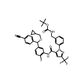 CC(C)(C)OC(=O)NCc1cccc(-n2nc(C(F)(F)F)cc2C(=O)Nc2cc(C(OCC3CC3)c3ccc(C#N)cc3)ccc2F)c1